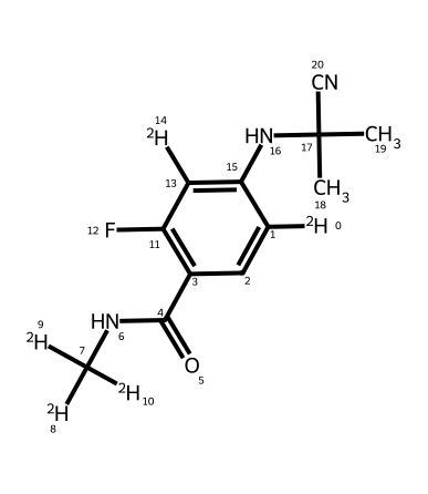 [2H]c1cc(C(=O)NC([2H])([2H])[2H])c(F)c([2H])c1NC(C)(C)C#N